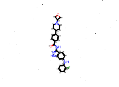 O=C(Nc1n[nH]c2cc(Nc3ccccc3F)ccc12)c1ccc(C2CCN(C3COC3)CC2)cc1